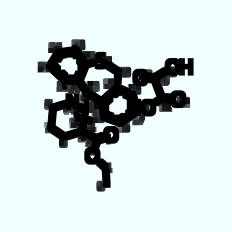 CCOC(=O)C1CCC[N@+]2(CC)C1[C@]21c2ccccc2CSc2ccccc21.O=C(O)C(=O)O